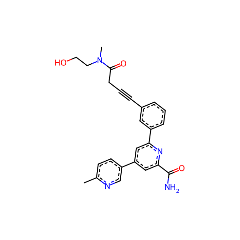 Cc1ccc(-c2cc(C(N)=O)nc(-c3cccc(C#CCC(=O)N(C)CCO)c3)c2)cn1